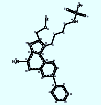 CCCS(=O)(=O)NCCCCn1c(COCC)nc2c(N)nc3cc(-c4cccnc4)ccc3c21